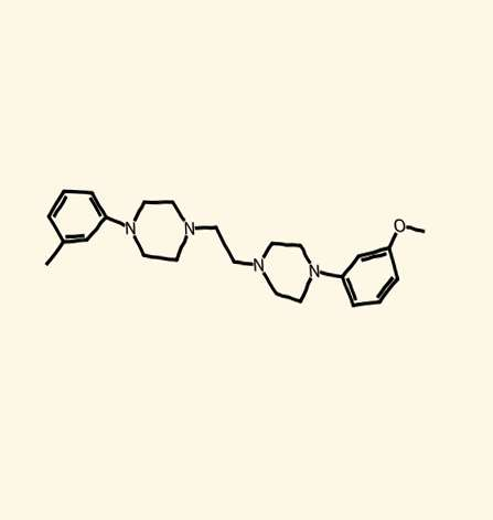 COc1cccc(N2CCN(CCN3CCN(c4cccc(C)c4)CC3)CC2)c1